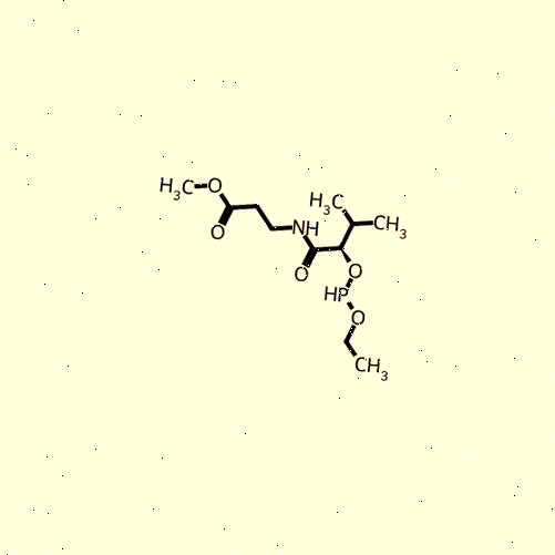 CCOPO[C@@H](C(=O)NCCC(=O)OC)C(C)C